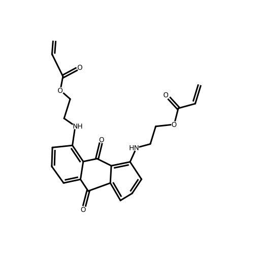 C=CC(=O)OCCNc1cccc2c1C(=O)c1c(NCCOC(=O)C=C)cccc1C2=O